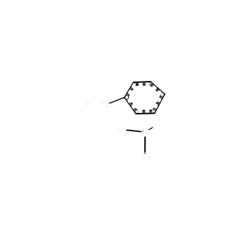 Br.CCN(CC)CC.Nc1ccccc1